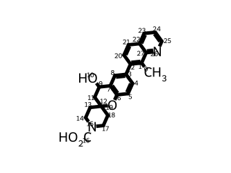 Cc1c(-c2ccc3c(c2)C(O)CC2(CCN(C(=O)O)CC2)O3)ccc2cccnc12